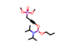 CCCOP(OC#CCP(=O)(OC)OC)N(C(C)C)C(C)C